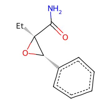 CC[C@@]1(C(N)=O)O[C@H]1c1ccccc1